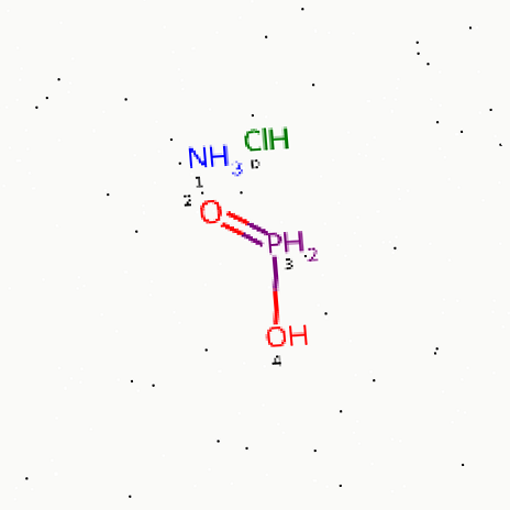 Cl.N.O=[PH2]O